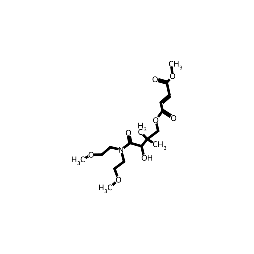 COCCN(CCOC)C(=O)C(O)C(C)(C)COC(=O)/C=C/C(=O)OC